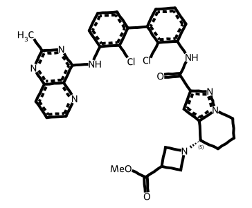 COC(=O)C1CN([C@H]2CCCn3nc(C(=O)Nc4cccc(-c5cccc(Nc6nc(C)nc7cccnc67)c5Cl)c4Cl)cc32)C1